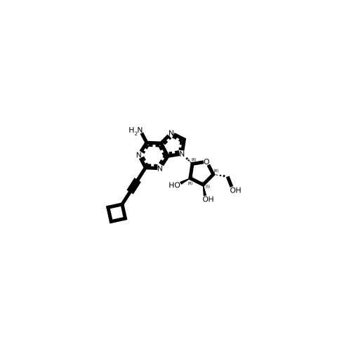 Nc1nc(C#CC2CCC2)nc2c1ncn2[C@@H]1O[C@H](CO)[C@@H](O)[C@H]1O